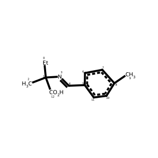 CCC(C)(N=Cc1ccc(C)cc1)C(=O)O